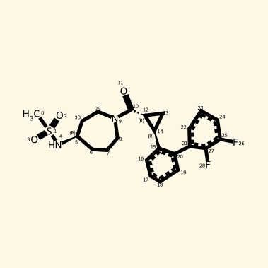 CS(=O)(=O)N[C@@H]1CCCN(C(=O)[C@@H]2C[C@H]2c2ccccc2-c2cccc(F)c2F)CC1